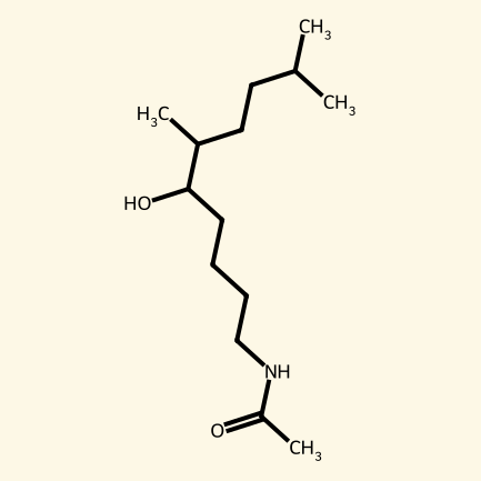 CC(=O)NCCCCC(O)C(C)CCC(C)C